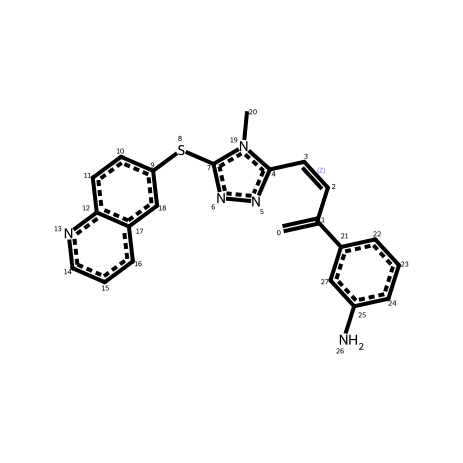 C=C(/C=C\c1nnc(Sc2ccc3ncccc3c2)n1C)c1cccc(N)c1